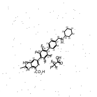 Cc1nc2c(C(=O)O)cc(-c3c(F)c(F)c(-c4ccc(CNC5CCCCC5)cc4)c(F)c3F)cc2[nH]1.O=C(O)C(F)(F)F